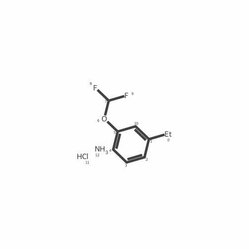 CCc1cccc(OC(F)F)c1.Cl.N